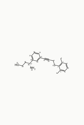 Cc1cccc(C)c1SCC#Cc1cccc([C@H](N)CCO)c1